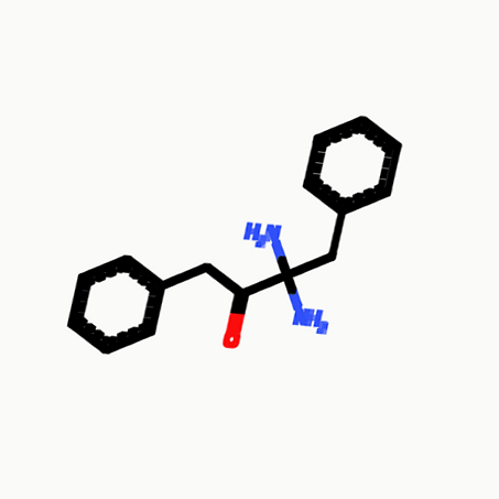 NC(N)(Cc1ccccc1)C(=O)Cc1ccccc1